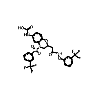 O=C(O)Nc1ccc2c(c1)N(S(=O)(=O)c1cccc(C(F)(F)F)c1)CC(CC(=O)NOc1cccc(C(F)(F)F)c1)O2